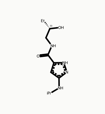 CC[C@H](O)CNC(=O)c1cc(NC(C)C)n[nH]1